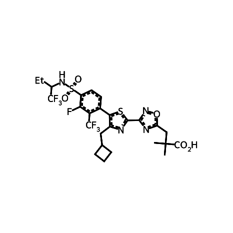 CCC(NS(=O)(=O)c1ccc(-c2sc(-c3noc(CC(C)(C)C(=O)O)n3)nc2CC2CCC2)c(C(F)(F)F)c1F)C(F)(F)F